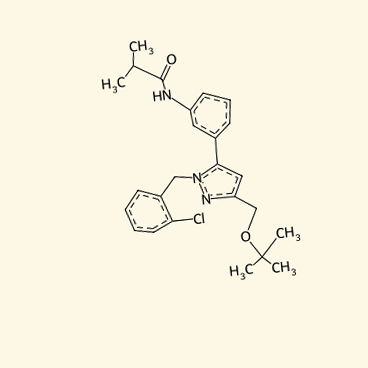 CC(C)C(=O)Nc1cccc(-c2cc(COC(C)(C)C)nn2Cc2ccccc2Cl)c1